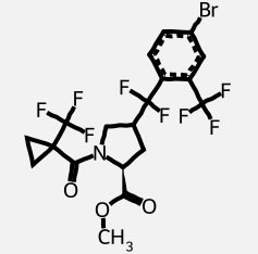 COC(=O)[C@@H]1CC(C(F)(F)c2ccc(Br)cc2C(F)(F)F)CN1C(=O)C1(C(F)(F)F)CC1